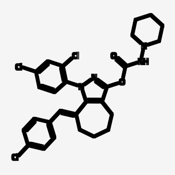 O=C(NN1CCCCC1)Oc1nn(-c2ccc(Cl)cc2Cl)c2c1CCCC/C2=C\c1ccc(Cl)cc1